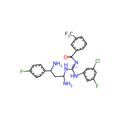 NC(CC(N)c1ccc(F)cc1)N/C(=N\C(=O)c1cccc(C(F)(F)F)c1)Nc1cc(F)cc(Cl)c1